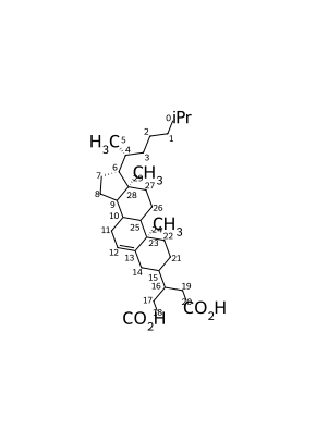 CC(C)CCC[C@@H](C)[C@H]1CCC2C3CC=C4CC(C(CC(=O)O)CC(=O)O)CC[C@]4(C)C3CC[C@@]21C